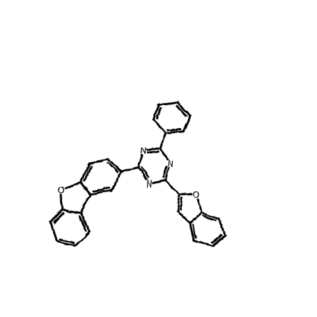 c1ccc(-c2nc(-c3ccc4oc5ccccc5c4c3)nc(-c3cc4ccccc4o3)n2)cc1